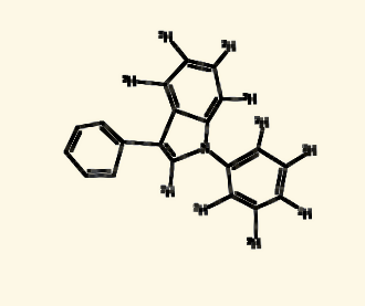 [2H]c1c([2H])c([2H])c(-n2c([2H])c(-c3ccccc3)c3c([2H])c([2H])c([2H])c([2H])c32)c([2H])c1[2H]